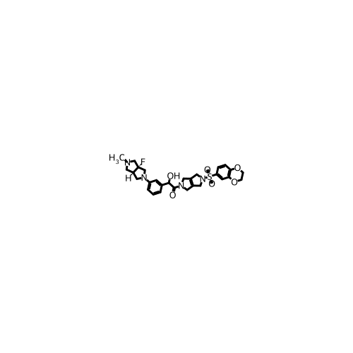 CN1C[C@@H]2CN(c3cccc(C(O)C(=O)N4CC5=C(C4)CN(S(=O)(=O)c4ccc6c(c4)OCCO6)C5)c3)C[C@]2(F)C1